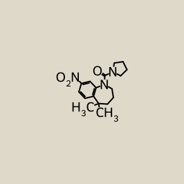 CC1(C)CCCN(C(=O)N2CCCC2)c2cc([N+](=O)[O-])ccc21